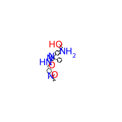 CN(C(=O)C1CC1)[C@H]1CC[C@H](CC(=O)Nc2cc(-c3ccccc3)c(-c3ccc(C4(N)CC(C)(O)C4)cc3)nn2)CC1